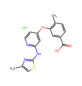 Cc1csc(Nc2cc(Oc3cc(C(=O)O)ccc3C)ccn2)n1.Cl